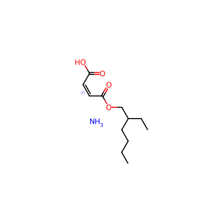 CCCCC(CC)COC(=O)/C=C\C(=O)O.N